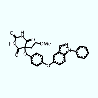 COCCC1(Oc2ccc(Oc3ccc4c(cnn4-c4ccccc4)c3)cc2)C(=O)NC(=O)NC1=O